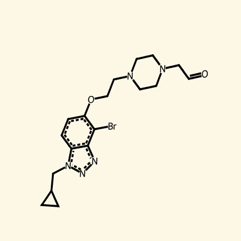 O=CCN1CCN(CCOc2ccc3c(nnn3CC3CC3)c2Br)CC1